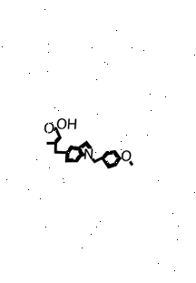 COc1ccc(Cn2ccc3cc(CC(C)=CC(=O)O)ccc32)cc1